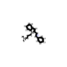 CN(C)CCCn1c(/C=C/c2ccccc2)cc2ccccc21